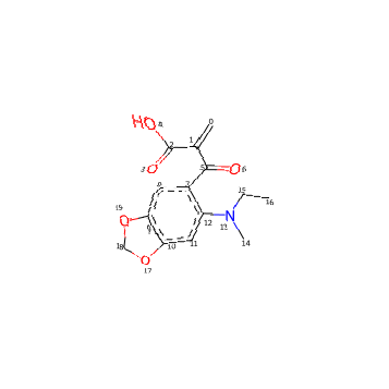 C=C(C(=O)O)C(=O)c1cc2c(cc1N(C)CC)OCO2